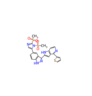 CS(=O)(=O)c1ncc(-c2ccc3[nH]nc(-c4cc5c(-c6cccs6)nccc5[nH]4)c3c2)n1S(C)(=O)=O